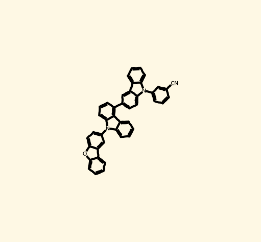 N#Cc1cccc(-n2c3ccccc3c3cc(-c4cccc5c4c4ccccc4n5-c4ccc5oc6ccccc6c5c4)ccc32)c1